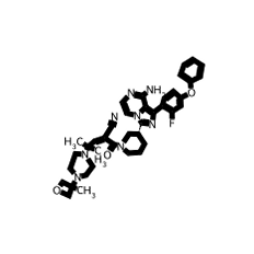 CC(C)(/C=C(/C#N)C(=O)N1CCC[C@@H](c2nc(-c3ccc(Oc4ccccc4)cc3F)c3c(N)nccn23)C1)N1CCN(C2(C)COC2)CC1